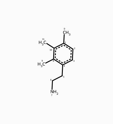 Cc1ccc(CCN)c(C)c1C